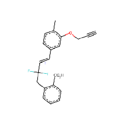 C#CCOc1cc(/C=C/C(F)(F)Cc2ccccc2C(=O)O)ccc1C